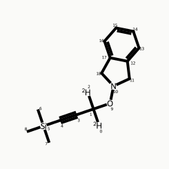 [2H]C([2H])(C#C[Si](C)(C)C)ON1Cc2ccccc2C1